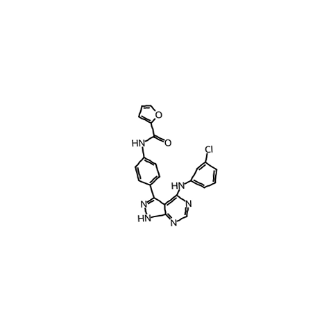 O=C(Nc1ccc(-c2n[nH]c3ncnc(Nc4cccc(Cl)c4)c23)cc1)c1ccco1